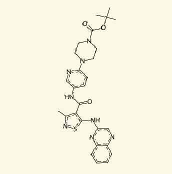 Cc1nsc(Nc2cnc3ccccc3n2)c1C(=O)Nc1ccc(N2CCN(C(=O)OC(C)(C)C)CC2)nc1